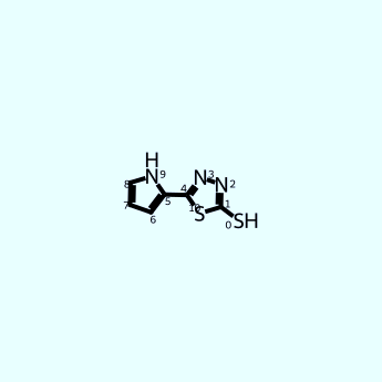 Sc1nnc(-c2ccc[nH]2)s1